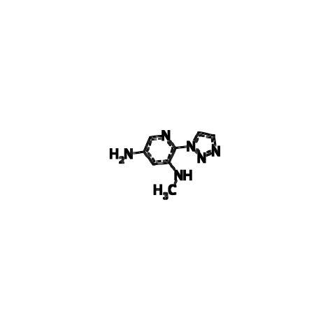 CNc1cc(N)cnc1-n1ccnn1